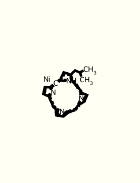 CC(C)Cc1cc2cc3nc(cc4ccc(cc5nc(cc1[nH]2)C=C5)[nH]4)C=C3.[Ni]